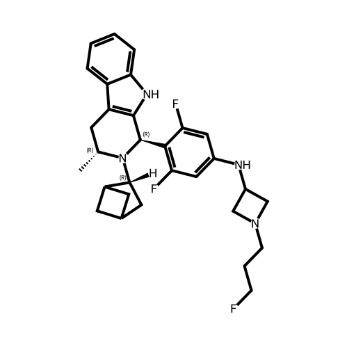 C[C@@H]1Cc2c([nH]c3ccccc23)[C@@H](c2c(F)cc(NC3CN(CCCF)C3)cc2F)N1[C@@H]1CC2CC1C2